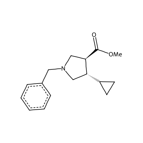 COC(=O)[C@@H]1CN(Cc2ccccc2)C[C@H]1C1CC1